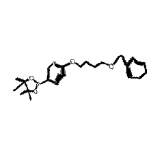 CC1(C)OB(c2ccc(OCCCCOCc3ccccc3)nc2)OC1(C)C